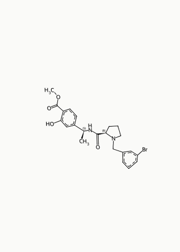 COC(=O)c1ccc([C@H](C)NC(=O)[C@H]2CCCN2Cc2cccc(Br)c2)cc1O